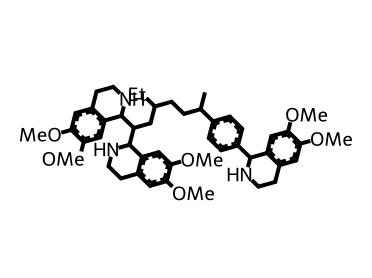 CCC(CCC(C)c1ccc(C2NCCc3cc(OC)c(OC)cc32)cc1)CC(C1NCCc2cc(OC)c(OC)cc21)C1NCCc2cc(OC)c(OC)cc21